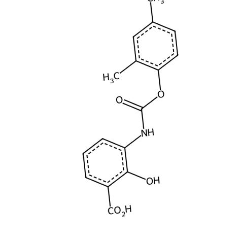 Cc1ccc(OC(=O)Nc2cccc(C(=O)O)c2O)c(C)c1